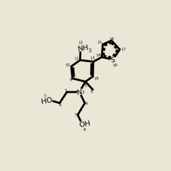 CC1(N(CCO)CCO)C=CC(N)C(c2cccs2)=C1